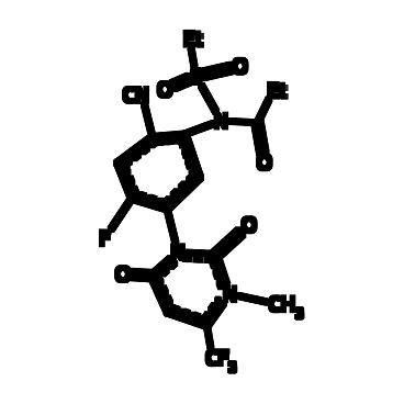 CCC(=O)N(c1cc(-n2c(=O)cc(C(F)(F)F)n(C)c2=O)c(F)cc1C#N)S(=O)(=O)CC